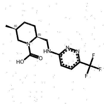 C[C@H]1CC[C@@H](CNc2ccc(C(F)(F)F)nn2)N(C(=O)O)C1